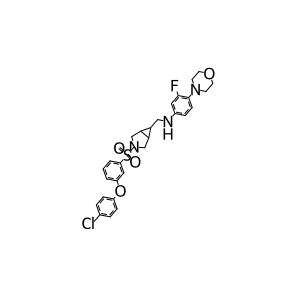 O=S(=O)(c1cccc(Oc2ccc(Cl)cc2)c1)N1CC2C(CNc3ccc(N4CCOCC4)c(F)c3)C2C1